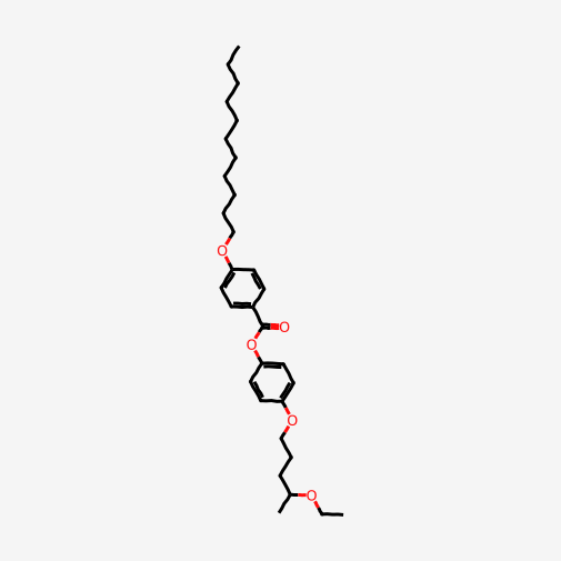 CCCCCCCCCCCOc1ccc(C(=O)Oc2ccc(OCCCC(C)OCC)cc2)cc1